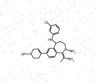 CCCN1CC=C(c2ccc3c(c2)C(Nc2cccc(Cl)c2)CCN(N)/C3=C(/C)N)CC1